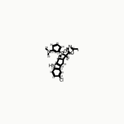 Cc1nnc(C(F)(C2Cc3[nH]c4ccc(Cl)cc4c3C2)S(=O)(=O)c2cccc(N(C)C)c2)o1